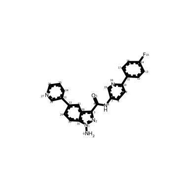 Nn1nc(C(=O)Nc2ccc(-c3ccc(F)cc3)nc2)c2cc(-c3cccnc3)ccc21